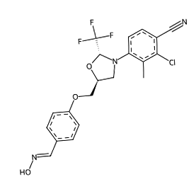 Cc1c(N2C[C@@H](COc3ccc(/C=N/O)cc3)O[C@@H]2C(F)(F)F)ccc(C#N)c1Cl